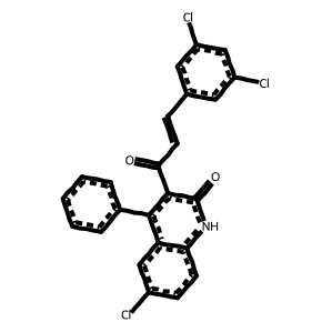 O=C(C=Cc1cc(Cl)cc(Cl)c1)c1c(-c2ccccc2)c2cc(Cl)ccc2[nH]c1=O